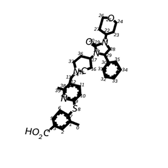 Cc1cc(C(=O)O)ccc1Sc1ccc(CN2CCC(N3C(=O)N(C4CCOCC4)CC3c3ccccc3)CC2)c(C)n1